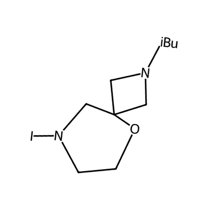 CCC(C)N1CC2(CN(I)CCO2)C1